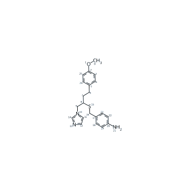 COc1ccc(CCC(Cn2ccnc2)SCc2ccc(N)cc2)cc1